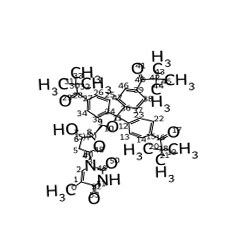 Cc1cn([C@H]2C[C@H](O)[C@@H](COC(c3ccc(C(=O)C(C)(C)C)cc3)(c3ccc(C(=O)C(C)(C)C)cc3)c3ccc(C(=O)C(C)(C)C)cc3)O2)c(=O)[nH]c1=O